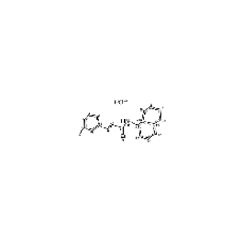 Cc1cccc(/C=C/C(=O)Nc2ccnc3ccccc23)c1.Cl